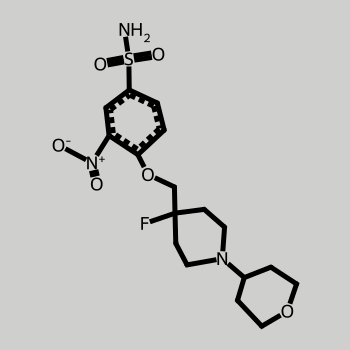 NS(=O)(=O)c1ccc(OCC2(F)CCN(C3CCOCC3)CC2)c([N+](=O)[O-])c1